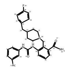 CC(=O)c1cccc(NC(=O)Nc2cccc(C(N)=O)c2CN2CCC(Cc3ccc(F)cc3)CC2)c1